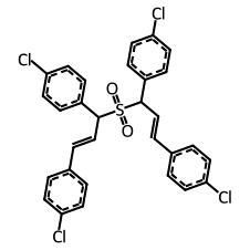 O=S(=O)(C(/C=C/c1ccc(Cl)cc1)c1ccc(Cl)cc1)C(/C=C/c1ccc(Cl)cc1)c1ccc(Cl)cc1